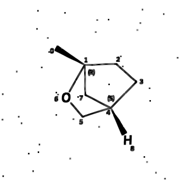 C[C@]12CC[C@H](CO1)C2